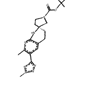 Cc1nc2c(cc1-c1nnn(C)n1)CC[C@@]1(CCN(C(=O)OC(C)(C)C)C1)N2